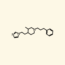 CC1CN(CCCc2ccccc2)CCC1CCn1ccnc1